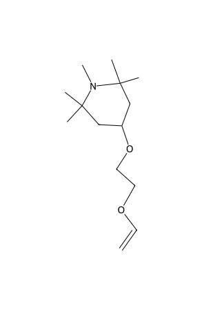 C=COCCOC1CC(C)(C)N(C)C(C)(C)C1